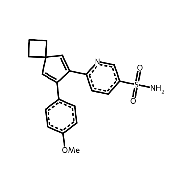 COc1ccc(C2=CC3(C=C2c2ccc(S(N)(=O)=O)cn2)CCC3)cc1